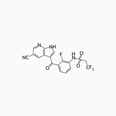 N#Cc1cnc2[nH]cc(C(=O)c3cccc(NS(=O)(=O)CC(F)(F)F)c3F)c2c1